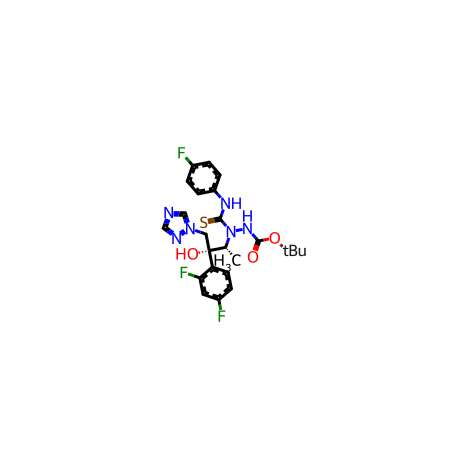 C[C@@H](N(NC(=O)OC(C)(C)C)C(=S)Nc1ccc(F)cc1)[C@](O)(Cn1cncn1)c1ccc(F)cc1F